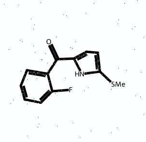 CSc1ccc(C(=O)c2ccccc2F)[nH]1